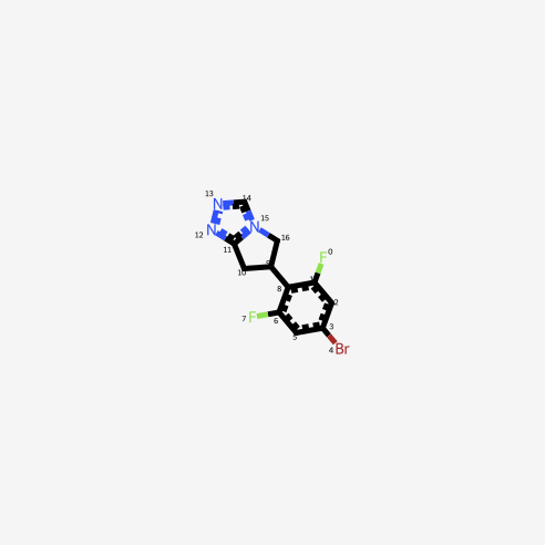 Fc1cc(Br)cc(F)c1C1Cc2nncn2C1